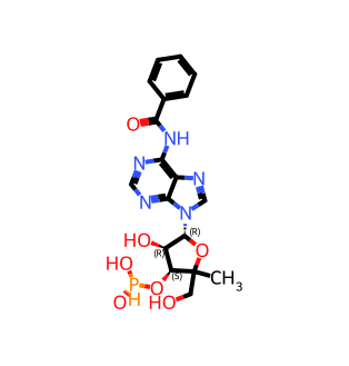 CC1(CO)O[C@@H](n2cnc3c(NC(=O)c4ccccc4)ncnc32)[C@H](O)[C@@H]1O[PH](=O)O